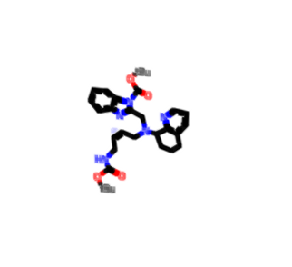 CC(C)(C)OC(=O)NC/C=C\CN(Cc1nc2ccccc2n1C(=O)OC(C)(C)C)C1CCCc2cccnc21